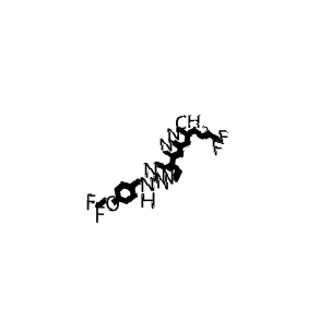 CC1=Nc2ncc(-c3ccn4nc(NCC5CCC(OCC(F)F)CC5)ncc34)cc2CC1CCCC(F)F